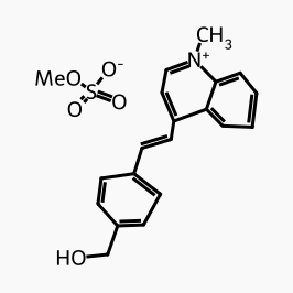 COS(=O)(=O)[O-].C[n+]1ccc(C=Cc2ccc(CO)cc2)c2ccccc21